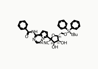 CC(C)(C)[Si](OC[C@H]1O[C@@](C#N)(c2ccc3c(NC(=O)c4ccccc4)ncnn23)[C@H](O)[C@@H]1O)(c1ccccc1)c1ccccc1